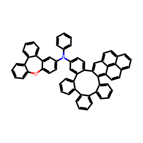 c1ccc(N(c2ccc3c(c2)-c2ccccc2-c2ccccc2O3)c2ccc3c(c2)c2ccccc2c2ccccc2c2ccccc2c2c3cc3ccc4cccc5ccc2c3c45)cc1